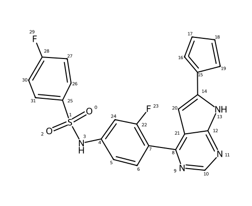 O=S(=O)(Nc1ccc(-c2ncnc3[nH]c(C4=C=CC=C4)cc23)c(F)c1)c1ccc(F)cc1